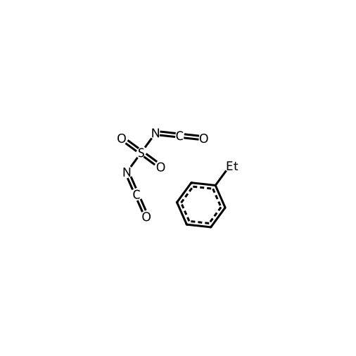 CCc1ccccc1.O=C=NS(=O)(=O)N=C=O